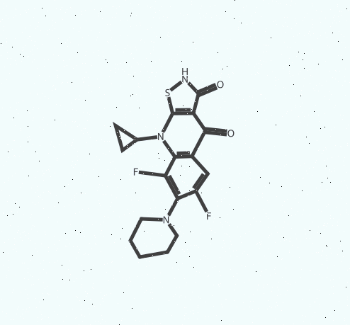 O=c1[nH]sc2c1c(=O)c1cc(F)c(N3CCCCC3)c(F)c1n2C1CC1